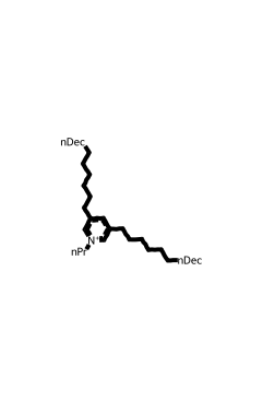 CCCCCCCCCCCCCCCCc1cc(CCCCCCCCCCCCCCCC)c[n+](CCC)c1